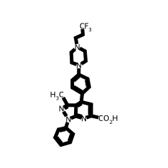 Cc1nn(-c2ccccc2)c2nc(C(=O)O)cc(-c3ccc(N4CCN(CCC(F)(F)F)CC4)cc3)c12